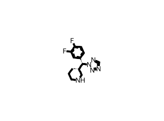 Fc1ccc([C@@H]([C@H]2CCCNC2)n2ncnn2)cc1F